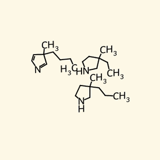 CCC1(C)CCNC1.CCCC1(C)CCNC1.CCCCC1(C)C=CN=C1